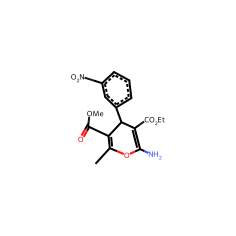 CCOC(=O)C1=C(N)OC(C)=C(C(=O)OC)C1c1cccc([N+](=O)[O-])c1